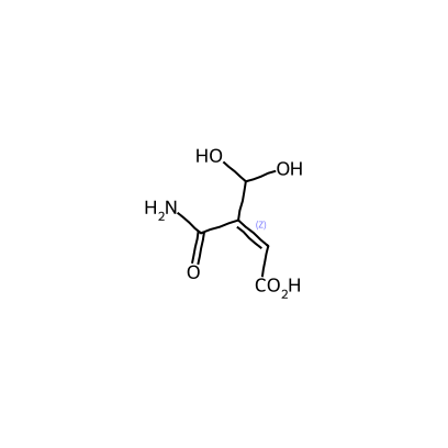 NC(=O)/C(=C\C(=O)O)C(O)O